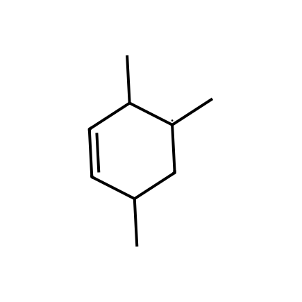 C[C]1CC(C)C=CC1C